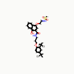 CCC(C)(C)c1ccc(OCCCNC(=O)c2cc(OCCNS(C)(=O)=O)c3ccccc3c2O)c(C(C)(C)CC)c1